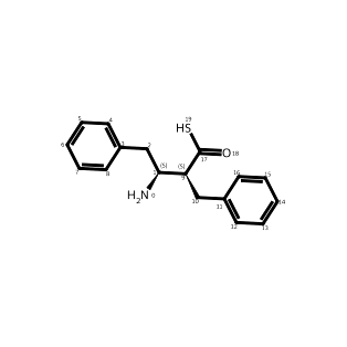 N[C@@H](Cc1ccccc1)[C@H](Cc1ccccc1)C(=O)S